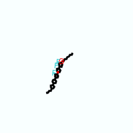 C=CCCC1CCC(C2CCC(c3ccc(-c4ccc(-c5ccc(OCCCCCCCC)c(F)c5F)cc4)c(F)c3)CC2)CC1